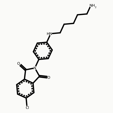 NCCCCCNc1ccc(N2C(=O)c3ccc(Cl)cc3C2=O)cc1